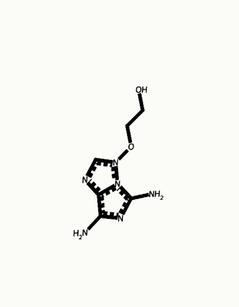 Nc1nc(N)n2c1ncn2OCCO